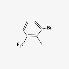 FC(F)(F)c1cccc(Br)c1I